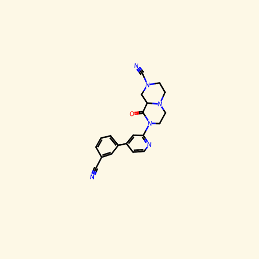 N#Cc1cccc(-c2ccnc(N3CCN4CCN(C#N)CC4C3=O)c2)c1